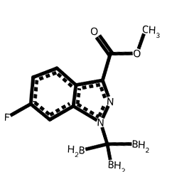 BC(B)(B)n1nc(C(=O)OC)c2ccc(F)cc21